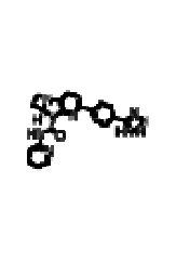 O=C(Nc1ccccn1)N1c2nc(-c3ccc(-c4nnn[nH]4)cc3)ccc2N2CC[C@@H]21